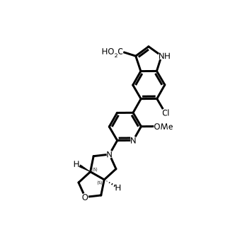 COc1nc(N2C[C@H]3COC[C@@H]3C2)ccc1-c1cc2c(C(=O)O)c[nH]c2cc1Cl